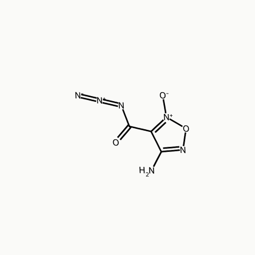 [N-]=[N+]=NC(=O)c1c(N)no[n+]1[O-]